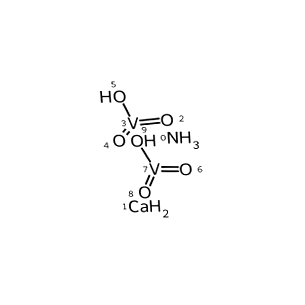 N.[CaH2].[O]=[V](=[O])[OH].[O]=[V](=[O])[OH]